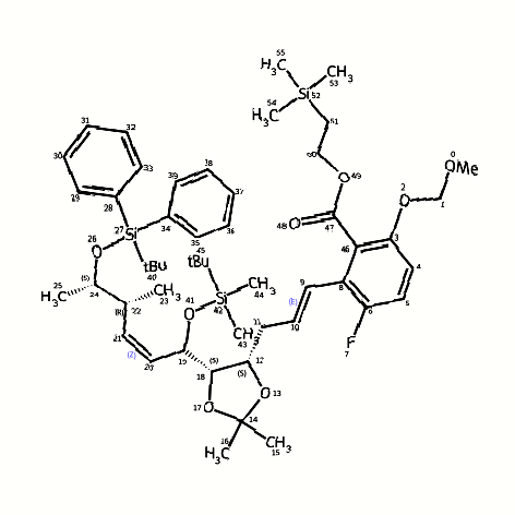 COCOc1ccc(F)c(/C=C/C[C@@H]2OC(C)(C)O[C@@H]2C(/C=C\[C@@H](C)[C@H](C)O[Si](c2ccccc2)(c2ccccc2)C(C)(C)C)O[Si](C)(C)C(C)(C)C)c1C(=O)OCC[Si](C)(C)C